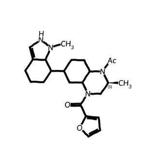 CC(=O)N1C2CCC(C3CCCC4=CNN(C)C43)CC2N(C(=O)c2ccco2)C[C@@H]1C